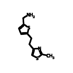 Cc1nc(CCc2ccc(CN)s2)cs1